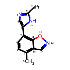 Cc1ccc(-c2cnc(C(C)C)[nH]2)c2oncc12